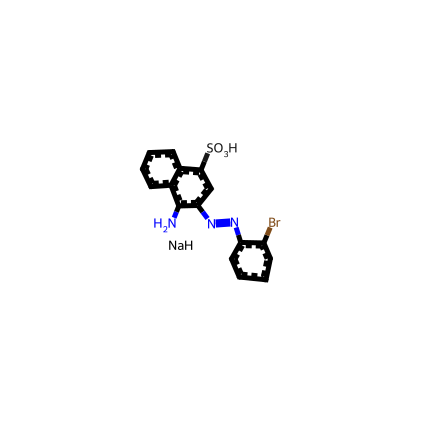 Nc1c(N=Nc2ccccc2Br)cc(S(=O)(=O)O)c2ccccc12.[NaH]